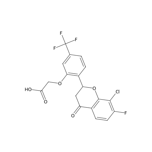 O=C(O)COc1cc(C(F)(F)F)ccc1C1CC(=O)c2ccc(F)c(Cl)c2O1